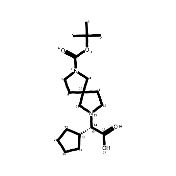 CC(C)(C)OC(=O)N1CCC2(CCN([C@H](C(=O)O)C3CCCC3)C2)C1